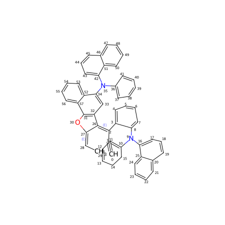 C#C/C(c1ccccc1N(C1=CC=CCC1)c1cccc2ccccc12)=c1\c(=C/C)oc2c1cc(N(c1ccccc1)c1cccc3ccccc13)c1ccccc12